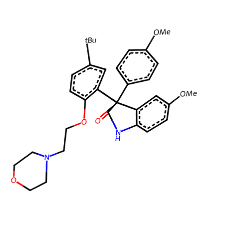 COc1ccc(C2(c3cc(C(C)(C)C)ccc3OCCN3CCOCC3)C(=O)Nc3ccc(OC)cc32)cc1